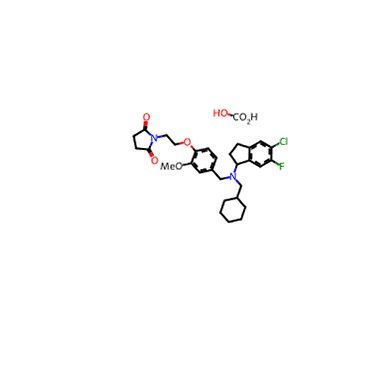 COc1cc(CN(CC2CCCCC2)C2CCc3cc(Cl)c(F)cc32)ccc1OCCN1C(=O)CCC1=O.O=C(O)O